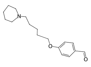 O=Cc1ccc(OCCCCCN2CCCCC2)cc1